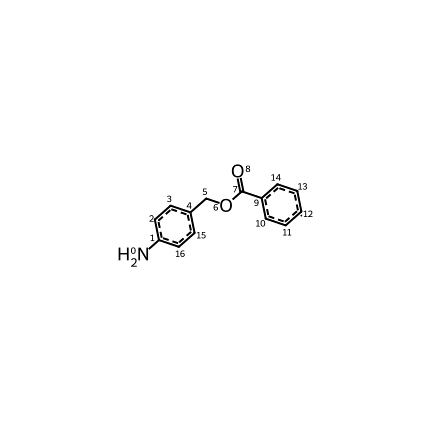 Nc1ccc(COC(=O)c2cc[c]cc2)cc1